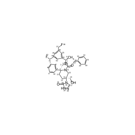 C[C@@H](OC[C@@]1(c2ccccc2)CC[C@](CO)(n2cn[nH]c2=O)CN1C(=O)OCc1ccccc1)c1cc(CF)cc(CF)c1